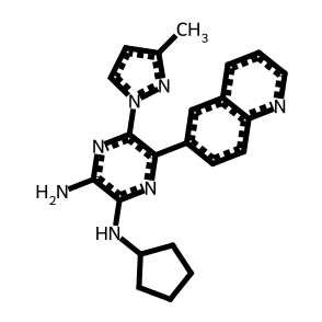 Cc1ccn(-c2nc(N)c(NC3CCCC3)nc2-c2ccc3ncccc3c2)n1